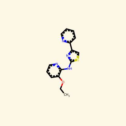 CCOc1cccnc1Nc1nc(-c2ccccn2)cs1